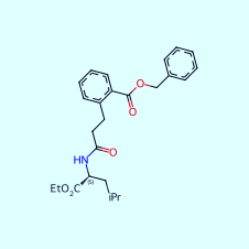 CCOC(=O)[C@H](CC(C)C)NC(=O)CCc1ccccc1C(=O)OCc1ccccc1